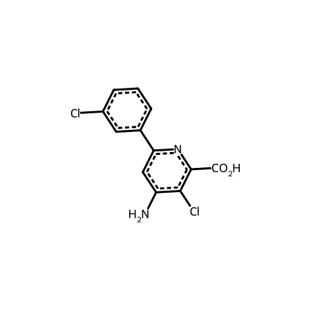 Nc1cc(-c2cccc(Cl)c2)nc(C(=O)O)c1Cl